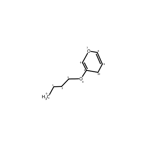 CCCCOC1=[C]OC=CC1